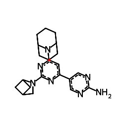 Nc1ncc(-c2cc(N3C4CCCC3CCC4)nc(N3CC4CC3C4)n2)cn1